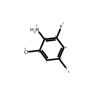 Nc1c(F)cc(I)cc1Cl